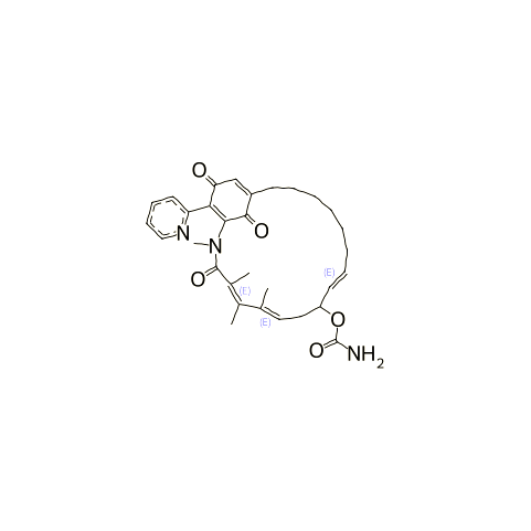 CC1=C\CC(OC(N)=O)/C=C/CCCCCCC2=CC(=O)C(c3ccccn3)=C(C2=O)N(C)C(=O)\C(C)=C\1C